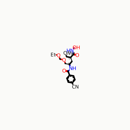 CCOCOC[C@@H](C[C@@H](COC)C(=O)NO)NC(=O)c1ccc(C#N)cc1